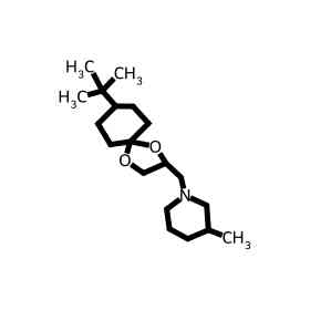 CC1CCCN(CC2COC3(CCC(C(C)(C)C)CC3)O2)C1